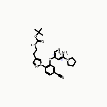 CC(C)(C)OC(=O)NCCc1cnn(-c2ccc(C#N)cc2OC(=C/N)/C=C(\N)N2CCCC2)c1